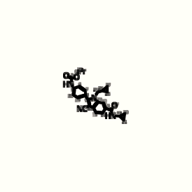 CC(C)OC(=O)Nc1ccc(-c2c(C#N)c3ccc(C(=O)NC4CC4)cc3n2CC2CC2)cc1